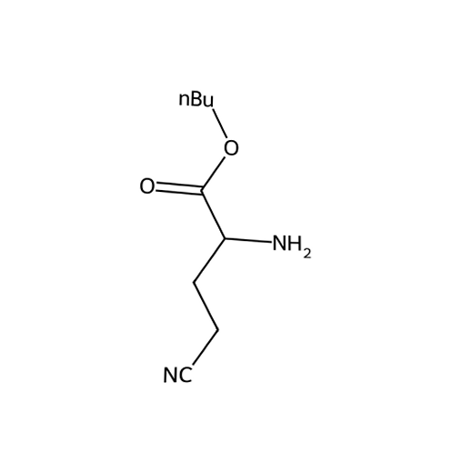 CCCCOC(=O)C(N)CCC#N